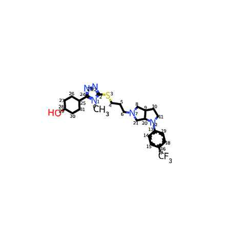 Cn1c(SCCCN2CC3CCN(c4ccc(C(F)(F)F)cc4)C3C2)nnc1C1CCC(O)CC1